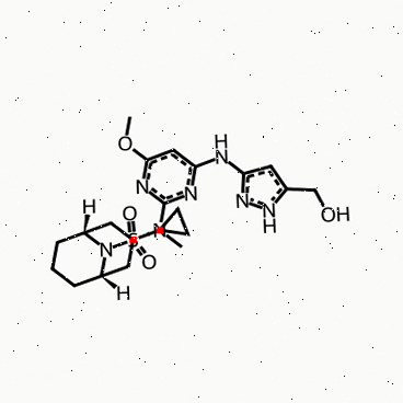 COc1cc(Nc2cc(CO)[nH]n2)nc(N(C)[C@H]2C[C@H]3CCC[C@@H](C2)N3S(=O)(=O)C2CC2)n1